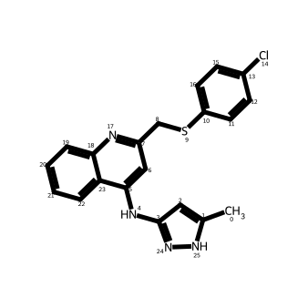 Cc1cc(Nc2cc(CSc3ccc(Cl)cc3)nc3ccccc23)n[nH]1